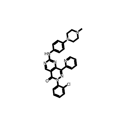 CN1CCN(c2ccc(Nc3ncc4c(=O)n(-c5ccccc5Cl)nc(-c5ccccn5)c4n3)cc2)CC1